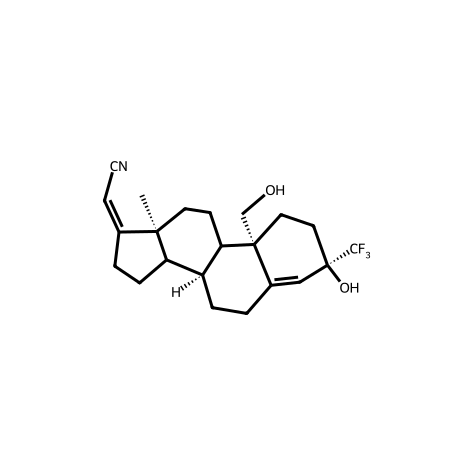 C[C@]12CCC3[C@@H](CCC4=C[C@@](O)(C(F)(F)F)CC[C@@]43CO)C1CC/C2=C/C#N